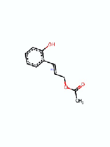 CC(=O)OC/C=C/c1ccccc1O